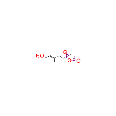 C/C(=C\CO)CCP(C)(=O)OP(C)(C)=O